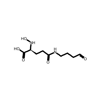 O=CCCCNC(=O)CC[C@H](NO)C(=O)O